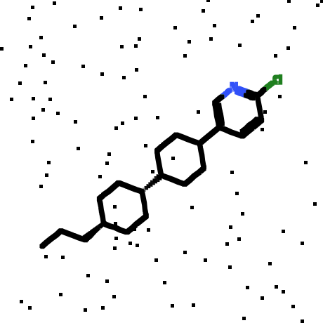 CCC[C@H]1CC[C@H](C2CCC(c3ccc(Cl)nc3)CC2)CC1